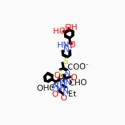 CCN1CCN(N(C=O)[C@@H](C(=O)N[C@]2(NC=O)C(=O)N3C(C(=O)[O-])=C(CSc4cc[n+](NC(=O)c5ccc(O)c(O)c5)cc4)CS[C@@H]32)c2ccccc2)C(=O)C1=O